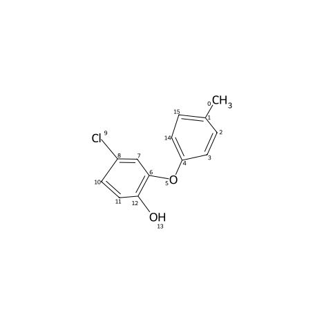 Cc1ccc(Oc2cc(Cl)ccc2O)cc1